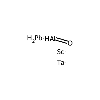 [O]=[AlH].[PbH2].[Sc].[Ta]